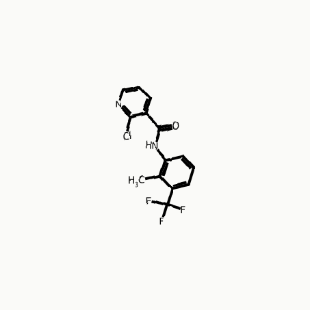 Cc1c(NC(=O)c2cccnc2Cl)cccc1C(F)(F)F